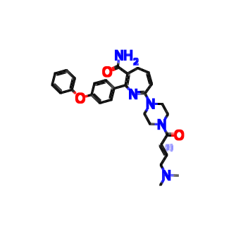 CN(C)C/C=C/C(=O)N1CCN(C2=NC(c3ccc(Oc4ccccc4)cc3)=C(C(N)=O)CC=C2)CC1